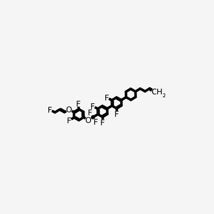 C=CCCC1CCC(c2cc(F)c(-c3cc(F)c(C(F)(F)Oc4cc(F)c(O/C=C/CF)c(F)c4)c(F)c3)c(F)c2)CC1